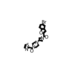 O=C(c1cc2cc(Br)ccc2o1)N1CC(N2CCN(C(=O)c3nccs3)CC2)C1